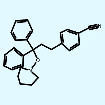 N#Cc1ccc(CCC(ON2CCCCC2)(c2ccccc2)c2ccccc2)cc1